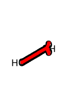 O=C(O)CCOCCOCCOCCOCCOCCOCCOCCOCCOCCOCCOCCOCCOCCOCCOCCOCCOCCOCCOCCOCCOCCOCCOCCOCCNC(=O)C(CCCCCCCCCCCC(=O)OCc1ccccc1)(CCCCCCCCCCCC(=O)OCc1ccccc1)C(=O)OCc1ccccc1